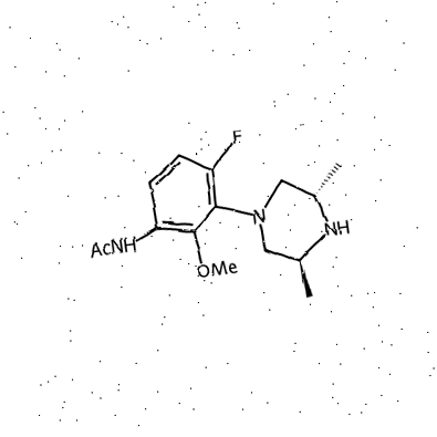 COc1c(NC(C)=O)ccc(F)c1N1C[C@H](C)N[C@@H](C)C1